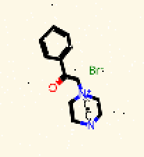 O=C(C[N+]12CCN(CC1)CC2)c1ccccc1.[Br-]